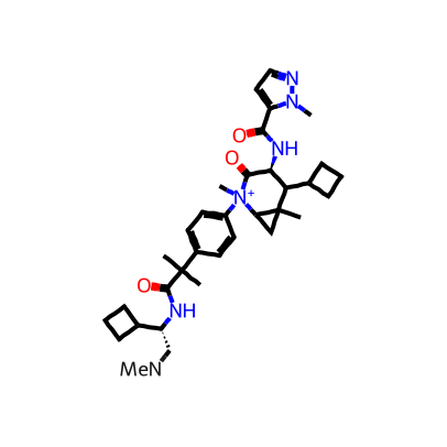 CNC[C@@H](NC(=O)C(C)(C)c1ccc([N+]2(C)C(=O)[C@@H](NC(=O)c3ccnn3C)C(C3CCC3)C3(C)CC32)cc1)C1CCC1